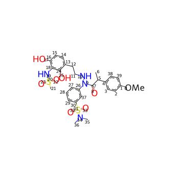 COc1ccc(C(C)C(=O)N(NCCc2ccc(O)c(NS(C)(=O)=O)c2O)c2cccc(S(=O)(=O)N(C)C)c2)cc1